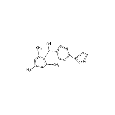 Cc1cc(C)c(C(O)c2ccc(-n3ccnc3)nc2)c(C)c1